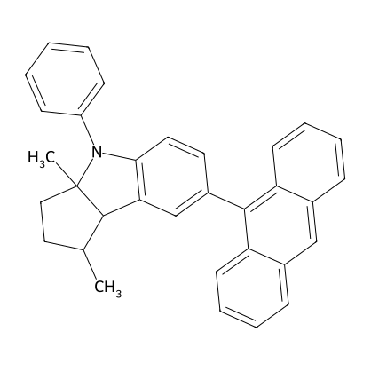 CC1CCC2(C)C1c1cc(-c3c4ccccc4cc4ccccc34)ccc1N2c1ccccc1